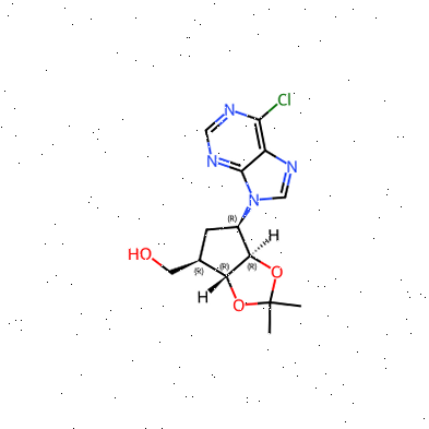 CC1(C)O[C@@H]2[C@@H](CO)C[C@@H](n3cnc4c(Cl)ncnc43)[C@H]2O1